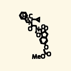 COC(=O)COc1ccc2c(c1)CC(=O)C21OCN(CC(=O)N(Cc2ccccc2)[C@@H](C)C2CC2)C1=O